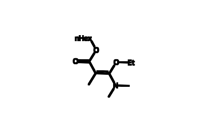 CCCCCCOC(=O)C(C)=C(OCC)N(C)C